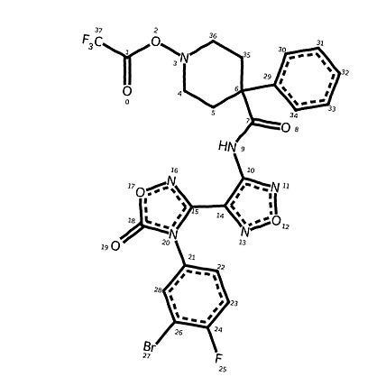 O=C(ON1CCC(C(=O)Nc2nonc2-c2noc(=O)n2-c2ccc(F)c(Br)c2)(c2ccccc2)CC1)C(F)(F)F